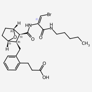 CCCCCNC(=O)/C(=C\Br)NC(=O)[C@H]1[C@@H](Cc2ccccc2CCC(=O)O)[C@@H]2CC[C@H]1O2